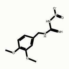 COc1ccc(CNC(=N)N[N+](=O)[O-])cc1OC